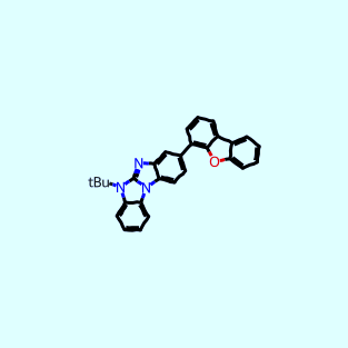 CC(C)(C)n1c2ccccc2n2c3ccc(-c4cccc5c4oc4ccccc45)cc3nc12